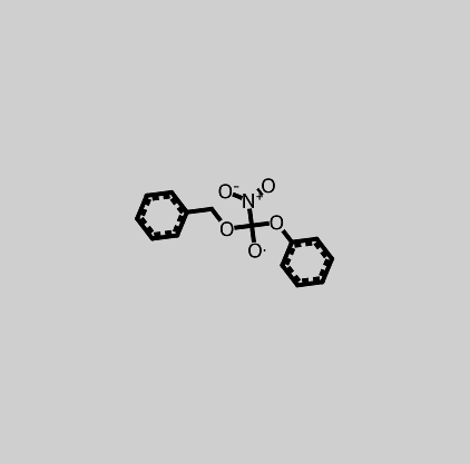 [O]C(OCc1ccccc1)(Oc1ccccc1)[N+](=O)[O-]